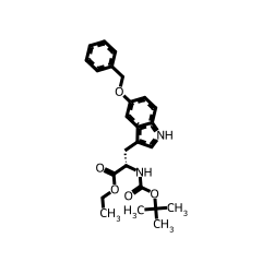 CCOC(=O)[C@H](Cc1c[nH]c2ccc(OCc3ccccc3)cc12)NC(=O)OC(C)(C)C